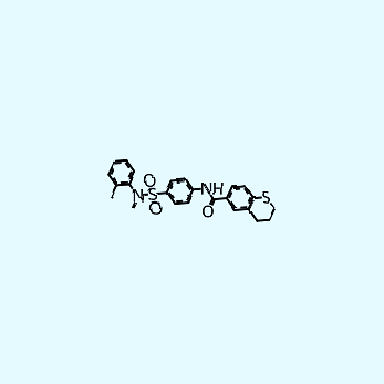 Cc1ccccc1N(C)S(=O)(=O)c1ccc(NC(=O)c2ccc3c(c2)CCCS3)cc1